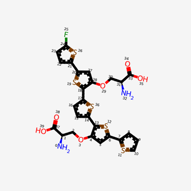 N[C@H](COc1cc(-c2cccs2)sc1-c1ccc(-c2sc(-c3ccc(F)s3)cc2OC[C@H](N)C(=O)O)s1)C(=O)O